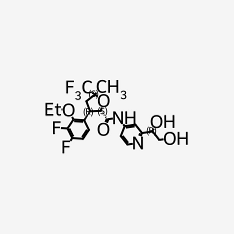 CCOc1c([C@H]2C[C@@](C)(C(F)(F)F)O[C@@H]2C(=O)Nc2ccnc([C@@H](O)CO)c2)ccc(F)c1F